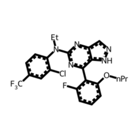 CCCOc1cccc(F)c1-c1nc(N(CC)c2ccc(C(F)(F)F)cc2Cl)nc2cn[nH]c12